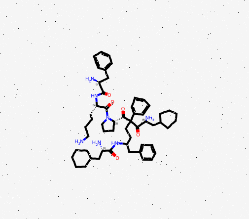 NCCCC[C@H](NC(=O)[C@@H](N)Cc1ccccc1)C(=O)N1CCC[C@H]1C(=O)C(CCC(Cc1ccccc1)NC(=O)[C@@H](N)CC1CCCCC1)(C(=O)[C@H](N)CC1CCCCC1)c1ccccc1